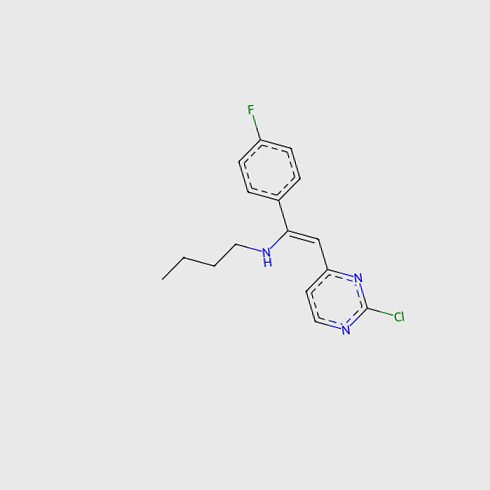 CCCCN/C(=C\c1ccnc(Cl)n1)c1ccc(F)cc1